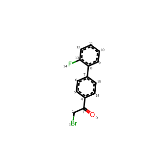 O=C(CBr)c1ccc(-c2ccccc2F)cc1